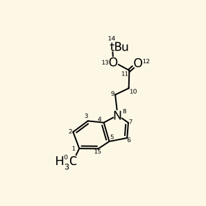 Cc1ccc2c(ccn2CCC(=O)OC(C)(C)C)c1